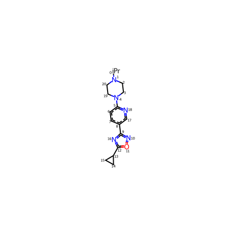 CC(C)N1CCN(c2ccc(-c3noc(C4CC4)n3)cn2)CC1